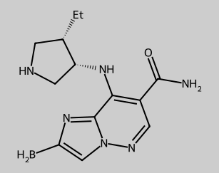 Bc1cn2ncc(C(N)=O)c(N[C@@H]3CNC[C@@H]3CC)c2n1